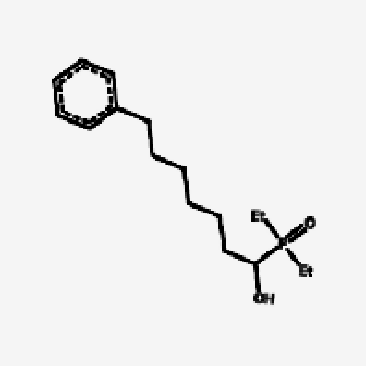 CCP(=O)(CC)C(O)CCCCCCc1ccccc1